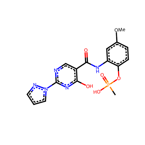 COc1ccc(OP(C)(=O)O)c(NC(=O)c2cnc(-n3cccn3)nc2O)c1